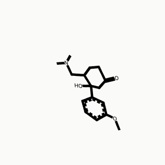 COc1cccc(C2(O)CC(=O)CCC2CN(C)C)c1